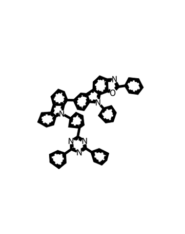 c1ccc(-c2nc(-c3ccccc3)nc(-c3cccc(-n4c5ccccc5c5cccc(-c6ccc7c(c6)c6ccc8nc(-c9ccccc9)oc8c6n7-c6ccccc6)c54)c3)n2)cc1